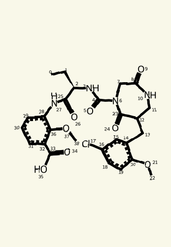 CC[C@@H](NC(=O)N1CC(=O)NCC(Cc2cc(Cl)ccc2OC)C1=O)C(=O)Nc1cccc(C(=O)O)c1OC